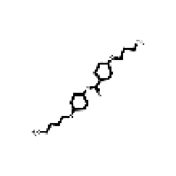 CCCCCOC1CCC(OC(=O)C2CCC(OCCCC)CC2)CC1